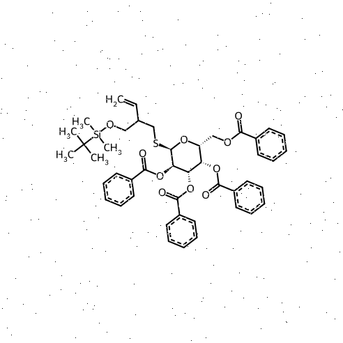 C=CC(CO[Si](C)(C)C(C)(C)C)CS[C@H]1O[C@H](COC(=O)c2ccccc2)[C@H](OC(=O)c2ccccc2)[C@H](OC(=O)c2ccccc2)[C@H]1OC(=O)c1ccccc1